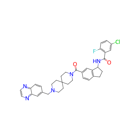 O=C(NC1CCc2ccc(C(=O)N3CCC4(CCN(Cc5ccc6nccnc6c5)CC4)CC3)cc21)c1cc(Cl)ccc1F